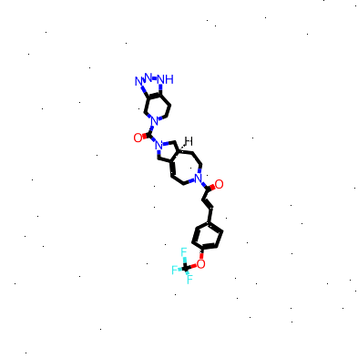 O=C(C=Cc1ccc(OC(F)(F)F)cc1)N1CC=C2CN(C(=O)N3CCc4[nH]nnc4C3)C[C@H]2CC1